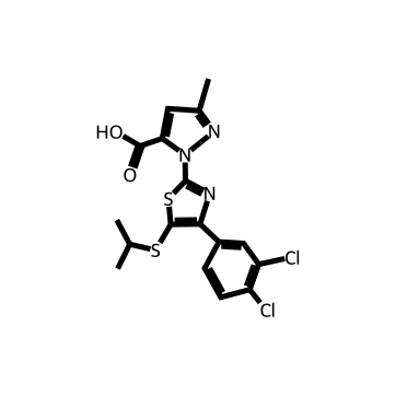 Cc1cc(C(=O)O)n(-c2nc(-c3ccc(Cl)c(Cl)c3)c(SC(C)C)s2)n1